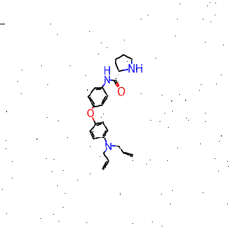 C=CCN(CC=C)c1ccc(Oc2ccc(NC(=O)[C@@H]3CCCN3)cc2)cc1